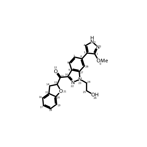 COc1n[nH]cc1-c1ccc2c(C(=O)C3Cc4ccccc4O3)nn(CCO)c2c1